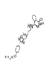 COc1ccc(-c2noc(CNCCCNc3n[nH]c(=O)c4ccccc34)n2)cc1